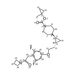 CC1(OC(=O)N2CCC([C@H]3C[C@@H]3CCOc3cc(F)c(CC(=O)N4CCC4)c(F)c3)CC2)CC1